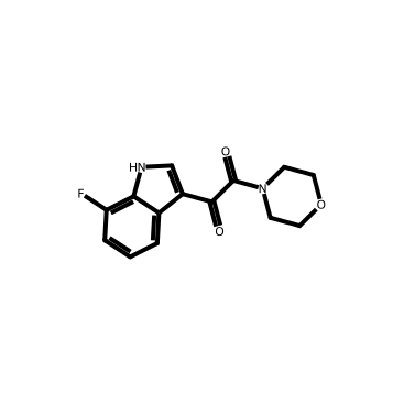 O=C(C(=O)N1CCOCC1)c1c[nH]c2c(F)cccc12